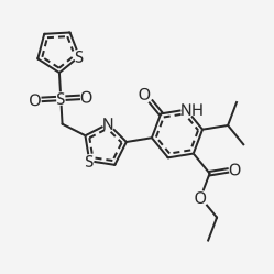 CCOC(=O)c1cc(-c2csc(CS(=O)(=O)c3cccs3)n2)c(=O)[nH]c1C(C)C